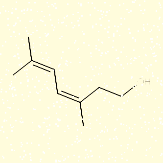 CC(C)=CC=C(C)CCO